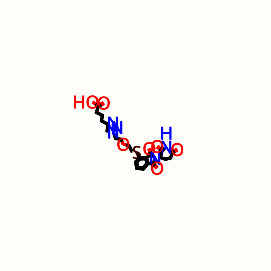 O=C(O)CCCc1cn(CCOCCSc2cccc3c2C(=O)N(C2CCC(=O)NC2=O)C3=O)nn1